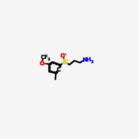 Cc1cc(OC(F)(F)F)cc([S+]([O-])CCCN)c1